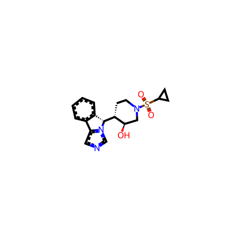 O=S(=O)(C1CC1)N1CC[C@@H]([C@H]2c3ccccc3-c3cncn32)[C@H](O)C1